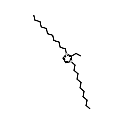 CCCCCCCCCCCn1cc[n+](CCCCCCCCCCC)c1CC